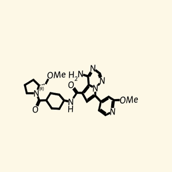 COC[C@H]1CCCN1C(=O)C1CCC(NC(=O)c2cc(-c3ccnc(OC)c3)n3ncnc(N)c23)CC1